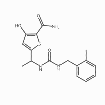 Cc1ccccc1CNC(=O)NC(C)c1cc(O)c(C(N)=O)s1